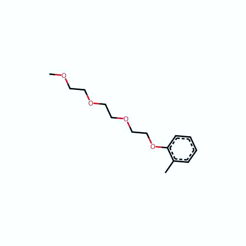 COCCOCCOCCOc1ccccc1C